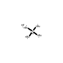 CCCC[PH](CCCC)(CCCC)CCCC.F